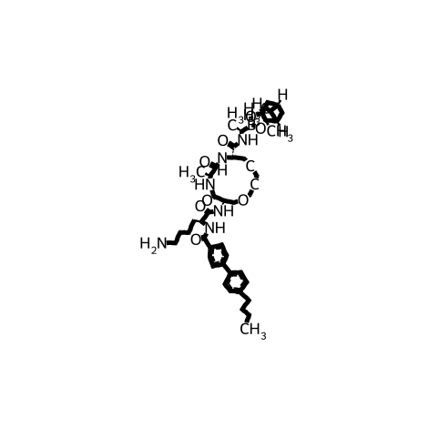 CCCCc1ccc(-c2ccc(C(=O)N[C@@H](CCCCN)C(=O)N[C@H]3COCCCCC[C@@H](C(=O)N[C@@H](C)B4O[C@@H]5C[C@@H]6C[C@@H](C6(C)C)[C@]5(C)O4)NC(=O)[C@H](C)NC3=O)cc2)cc1